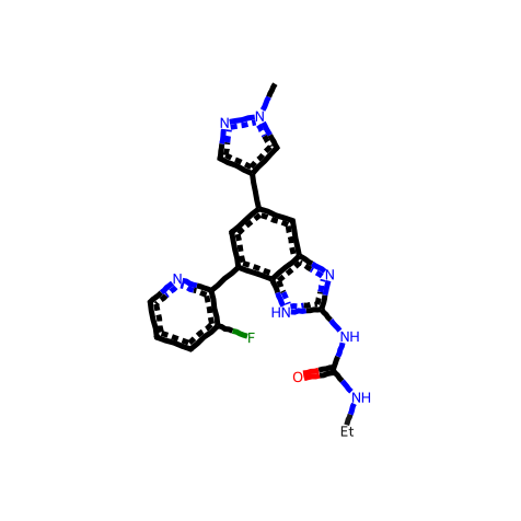 CCNC(=O)Nc1nc2cc(-c3cnn(C)c3)cc(-c3ncccc3F)c2[nH]1